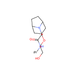 CC(C)NC(=O)CN1C2CCC1CC(OCCO)C2